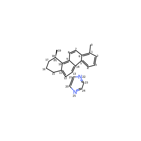 Cc1cccc2c1ccc1c3c(ccc12)CCC[C@H]3C.c1cnccn1